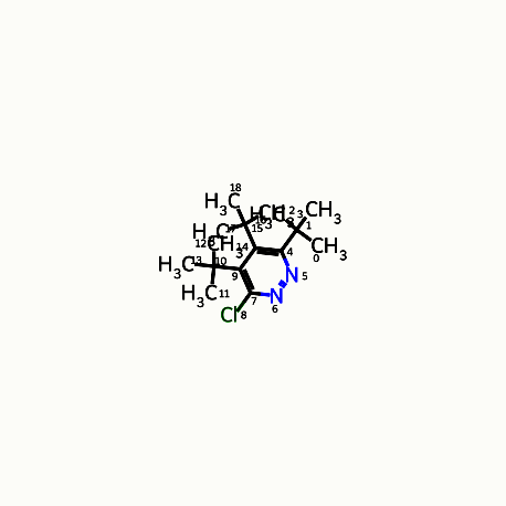 CC(C)(C)c1nnc(Cl)c(C(C)(C)C)c1C(C)(C)C